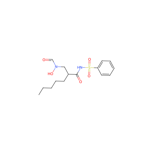 CCCCCC(CN(O)C=O)C(=O)NS(=O)(=O)c1ccccc1